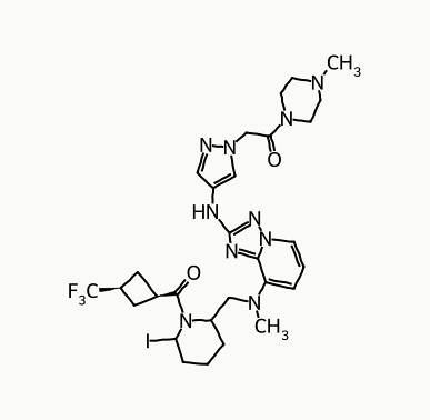 CN1CCN(C(=O)Cn2cc(Nc3nc4c(N(C)CC5CCCC(I)N5C(=O)[C@H]5C[C@@H](C(F)(F)F)C5)cccn4n3)cn2)CC1